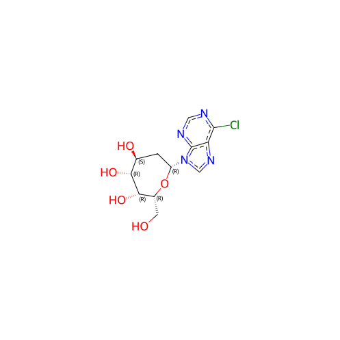 OC[C@H]1O[C@@H](n2cnc3c(Cl)ncnc32)C[C@H](O)[C@@H](O)[C@H]1O